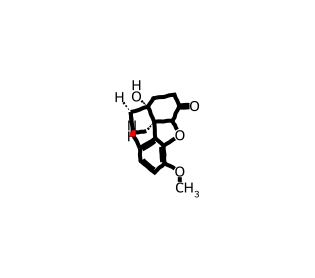 COc1ccc2c3c1OC1C(=O)CC[C@]4(O)[C@H](C2)NCC[C@@]314